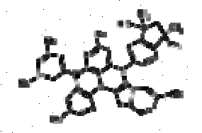 CC(C)(C)c1cc(N2c3cc(C(C)(C)C)ccc3B3c4sc5ccc(C(C)(C)C)cc5c4N(c4ccc5c(c4)C(C)(C)CC5(C)C)c4nc(C(C)(C)C)nc2c43)cc(C(C)(C)C)c1